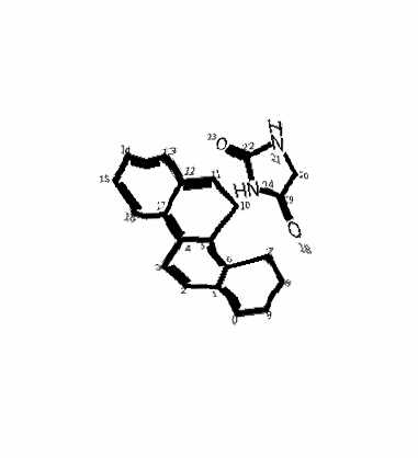 C1=c2ccc3c(c2CCC1)CC=c1ccccc1=3.O=C1CNC(=O)N1